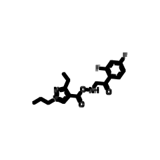 CCCn1cc(C(=O)ONCC(=O)c2ccc(F)cc2F)c(CC)n1